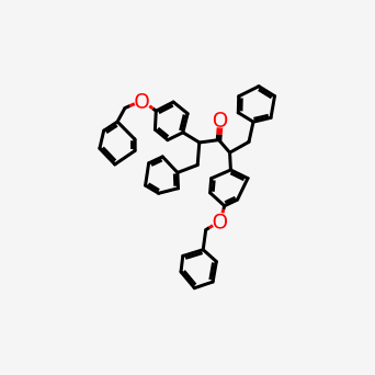 O=C(C(Cc1ccccc1)c1ccc(OCc2ccccc2)cc1)C(Cc1ccccc1)c1ccc(OCc2ccccc2)cc1